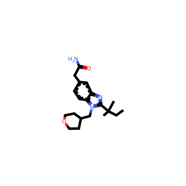 CCC(C)(C)c1nc2cc(CC(N)=O)ccc2n1CC1CCOCC1